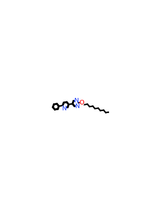 CCCCCCCCCCOc1ncc(-c2ccc(-c3ccccc3)nc2)cn1